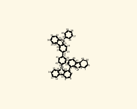 C1=Cc2sc3c(-c4cccc5c6ccccc6n(-c6ccc(-c7ccc8c(c7)c7ccccc7n8-c7ccccc7)cc6)c45)cccc3c2CC1